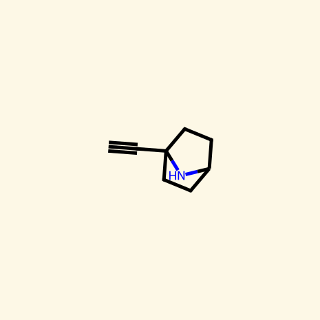 C#CC12CCC(CC1)N2